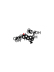 C[C@@H](O)[C@@H](CCN[C@]12CC[C@@H](C3(C)CC3)[C@@H]1[C@H]1CC[C@@H]3[C@@]4(C)CC[C@H](OC(=O)CC(C)(C)C(=O)O)C(C)(C)[C@@H]4CC[C@@]3(C)[C@]1(C)CC2)N1CCS(=O)(=O)CC1